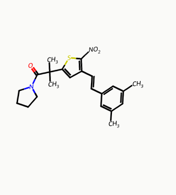 Cc1cc(C)cc(C=Cc2cc(C(C)(C)C(=O)N3CCCC3)sc2[N+](=O)[O-])c1